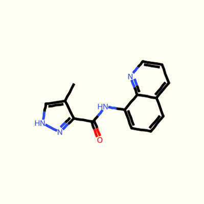 Cc1c[nH]nc1C(=O)Nc1cccc2cccnc12